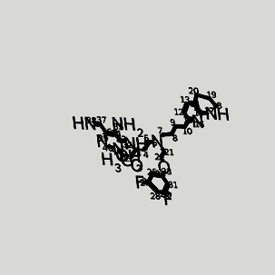 CC(=O)[C@H](CCN(CCCCc1ccc2c(n1)NCCC2)CCOc1cc(F)cc(F)c1)Nc1c(N)c(C=N)nc[n+]1O